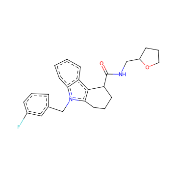 O=C(NCC1CCCO1)C1CCCc2c1c1ccccc1n2Cc1cccc(F)c1